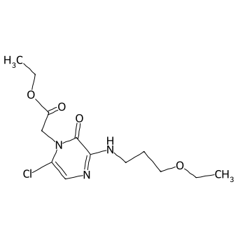 CCOCCCNc1ncc(Cl)n(CC(=O)OCC)c1=O